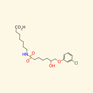 O=C(O)CCCCCCNS(=O)(=O)CCCCC(O)COc1cccc(Cl)c1